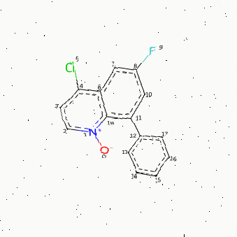 [O-][n+]1ccc(Cl)c2cc(F)cc(-c3ccccc3)c21